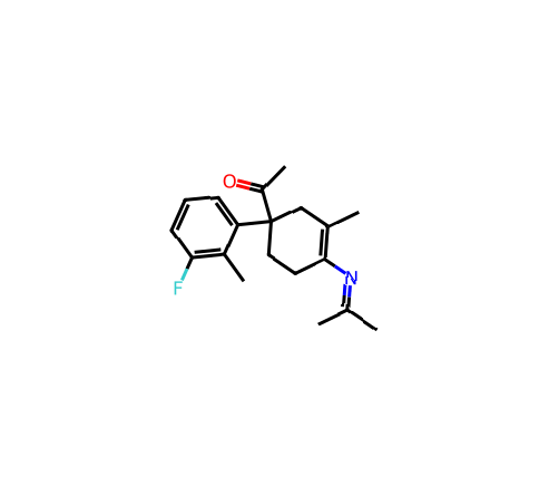 CC(=O)C1(c2cccc(F)c2C)CCC(N=C(C)C)=C(C)C1